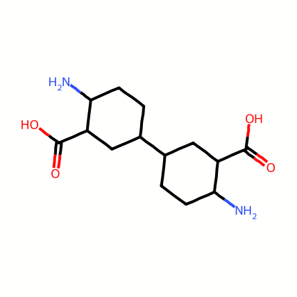 NC1CCC(C2CCC(N)C(C(=O)O)C2)CC1C(=O)O